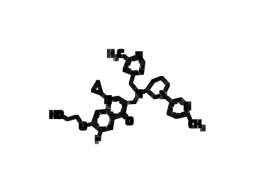 Cc1ccc(N2CCCC(N(Cc3ccnc(C)c3)Cc3cn(C4CC4)c4cc(OCCO)c(F)cc4c3=O)C2)cn1